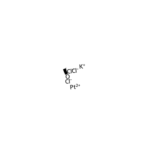 [C]=O.[Cl-].[Cl-].[Cl-].[K+].[Pt+2]